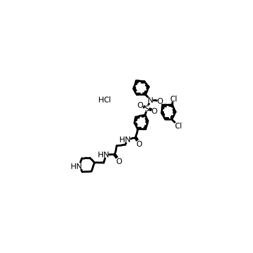 Cl.O=C(CCNC(=O)c1ccc(S(=O)(=O)N(Oc2ccc(Cl)cc2Cl)c2ccccc2)cc1)NCC1CCNCC1